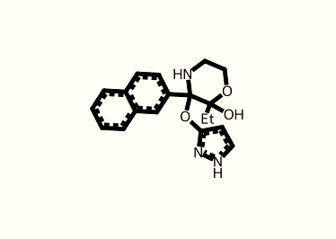 CCC1(O)OCCNC1(Oc1cc[nH]n1)c1ccc2ccccc2c1